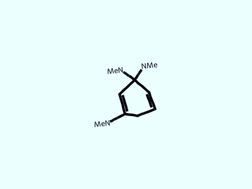 CNC1=CC(NC)(NC)C=CC1